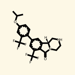 CC(C)Oc1ccc(-c2cc3c(c(C(F)(F)F)c2)C(=O)N2CCNC[C@@H]32)c(C(F)(F)F)c1